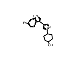 OC1CCC(n2cc(-c3c[nH]c4cc(F)ccc34)cn2)CC1